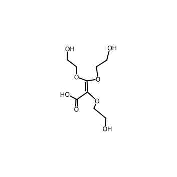 O=C(O)C(OCCO)=C(OCCO)OCCO